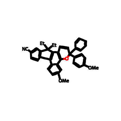 CCC1(CC)c2cc(C#N)ccc2-c2c1c1c(c3cc(OC)ccc23)OC(c2ccccc2)(c2ccc(OC)cc2)C=C1